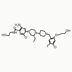 CC[C@H]1CN(c2nc(N)c(C(=O)NCCO)nc2Cl)CCN1C1CCN(Cc2cc(F)c(Cl)cc2OCCCO)CC1